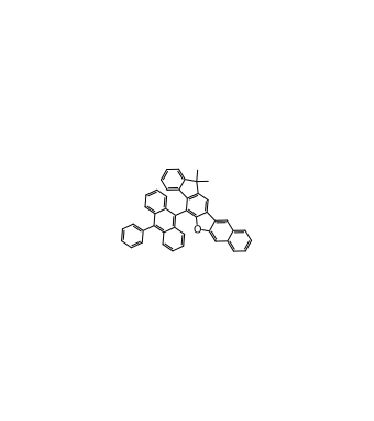 CC1(C)c2ccccc2-c2c1cc1c(oc3cc4ccccc4cc31)c2-c1c2ccccc2c(-c2ccccc2)c2ccccc12